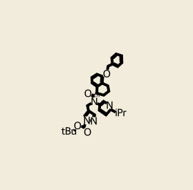 CC(C)c1ccc(N(Cc2cnn(C(=O)OC(C)(C)C)c2)C(=O)[C@H]2CCCc3c(OCc4ccccc4)cccc32)cn1